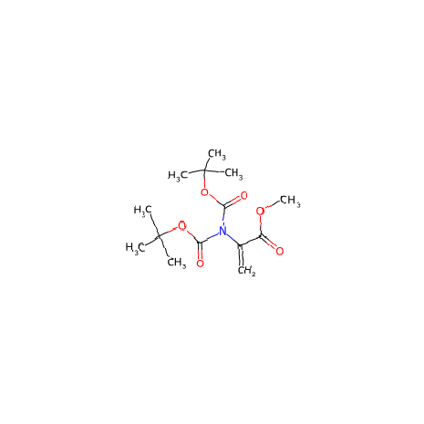 C=C(C(=O)OC)N(C(=O)OC(C)(C)C)C(=O)OC(C)(C)C